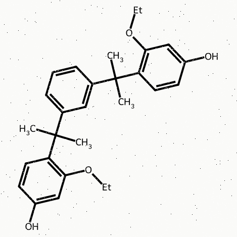 CCOc1cc(O)ccc1C(C)(C)c1cccc(C(C)(C)c2ccc(O)cc2OCC)c1